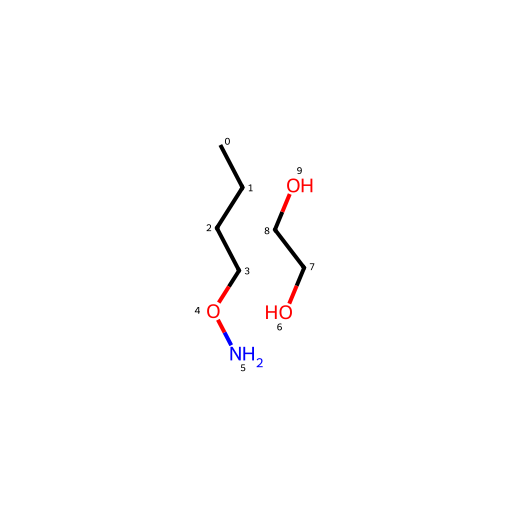 CCCCON.OCCO